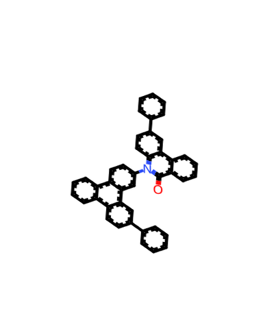 O=c1c2ccccc2c2cc(-c3ccccc3)ccc2n1-c1ccc2c3ccccc3c3ccc(-c4ccccc4)cc3c2c1